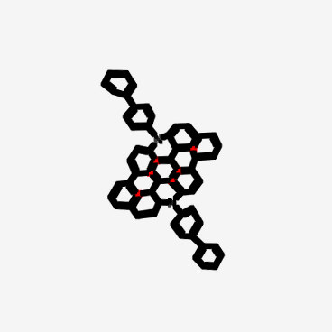 C1=CC(c2ccc(-c3ccccc3N(c3ccc(-c4ccccc4)cc3)c3ccc(-c4ccccc4)cc3)cc2)C(N(c2ccc(-c3ccccc3)cc2)c2ccc(-c3ccccc3)cc2)C=C1